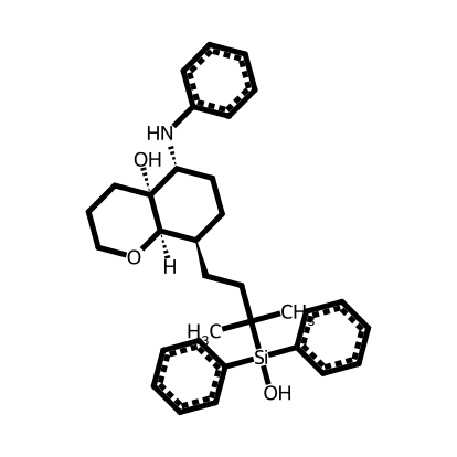 CC(C)(CC[C@@H]1CC[C@@H](Nc2ccccc2)[C@]2(O)CCCO[C@H]12)[Si](O)(c1ccccc1)c1ccccc1